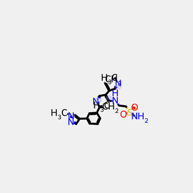 C=C(/N=C\C(C(=CC)/C=N\C)=C(/C)NCCS(N)(=O)=O)c1cccc(-c2cnn(C)c2)c1